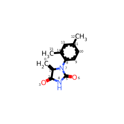 C=C1C(=O)NC(=O)N1c1ccc(C)cc1C